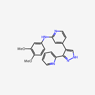 COc1ccc(Nc2cc(-c3c[nH]nc3-c3ccccn3)ccn2)cc1OC